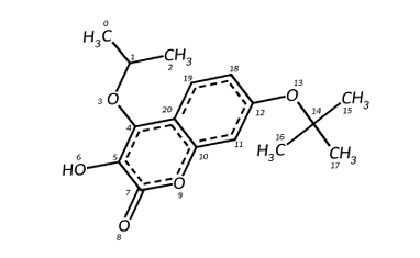 CC(C)Oc1c(O)c(=O)oc2cc(OC(C)(C)C)ccc12